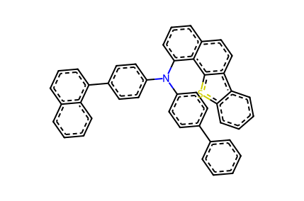 c1ccc(-c2ccc(N(c3ccc(-c4cccc5ccccc45)cc3)c3cccc4ccc5c6ccccc6sc5c34)cc2)cc1